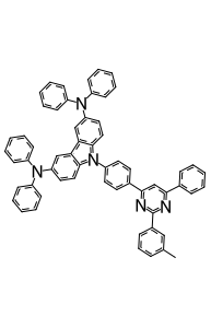 Cc1cccc(-c2nc(-c3ccccc3)cc(-c3ccc(-n4c5ccc(N(c6ccccc6)c6ccccc6)cc5c5cc(N(c6ccccc6)c6ccccc6)ccc54)cc3)n2)c1